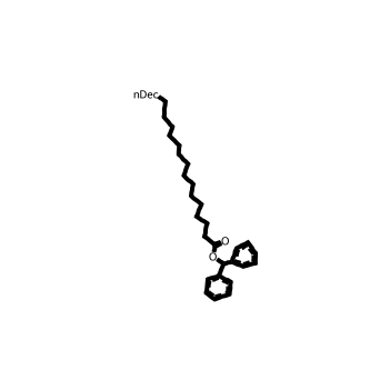 CCCCCCCCCCCCCCCCCCCCCCCCC(=O)OC(c1ccccc1)c1ccccc1